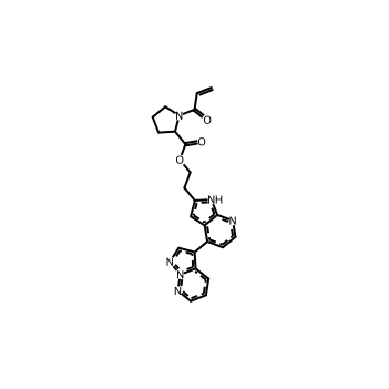 C=CC(=O)N1CCCC1C(=O)OCCc1cc2c(-c3cnn4ncccc34)ccnc2[nH]1